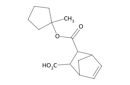 CC1(OC(=O)C2C3C=CC(C3)C2C(=O)O)CCCC1